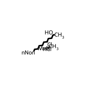 CCCCCCCCCCCCCCC(Cl)CCC(C)O.CNC.Cl